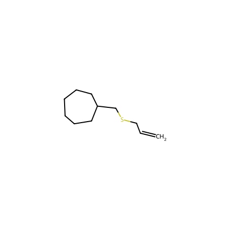 C=CCSCC1CCCCCC1